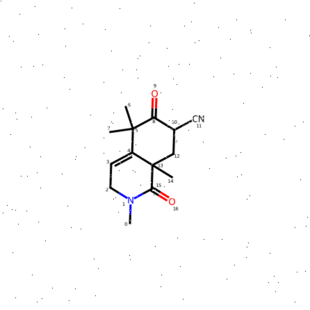 CN1CC=C2C(C)(C)C(=O)C(C#N)CC2(C)C1=O